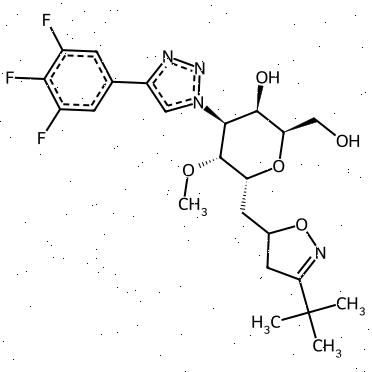 CO[C@@H]1[C@@H](n2cc(-c3cc(F)c(F)c(F)c3)nn2)[C@@H](O)[C@@H](CO)O[C@@H]1CC1CC(C(C)(C)C)=NO1